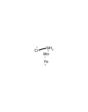 [Fe].[Mn].[SiH3][Cr]